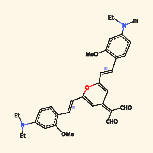 CCN(CC)c1ccc(/C=C/C2=CC(=C(C=O)C=O)C=C(/C=C/c3ccc(N(CC)CC)cc3OC)O2)c(OC)c1